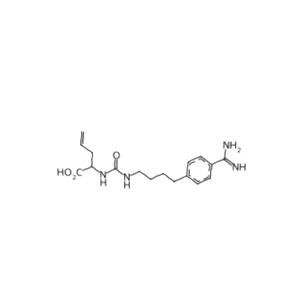 C=CCC(NC(=O)NCCCCc1ccc(C(=N)N)cc1)C(=O)O